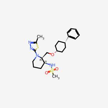 Cc1nnc(N2CCC[C@H](NS(C)(=O)=O)[C@@H]2CO[C@H]2CC[C@@H](c3ccccc3)CC2)s1